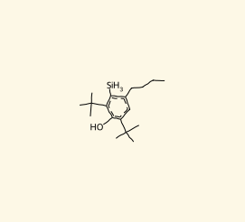 CCCCc1cc(C(C)(C)C)c(O)c(C(C)(C)C)c1[SiH3]